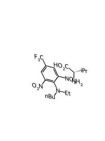 CC(C)[C@H](N)C(=O)O.CCCCN(CC)c1c([N+](=O)[O-])cc(C(F)(F)F)cc1[N+](=O)[O-]